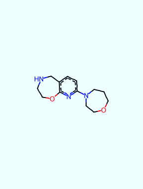 c1cc2c(nc1N1CCCOCC1)OCCNC2